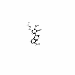 Nc1ncnc2c1ncn2[C@@H]1O[C@H](COSI)[C@H](O)[C@H]1O